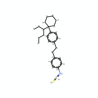 CCCC(CC)C1(c2ccc(CCc3ccc(N=C=S)cc3)cc2)CCCCC1